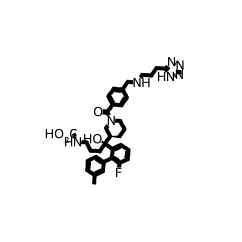 Cc1cccc(-c2c(F)cccc2[C@](O)(CCCNC(=O)O)[C@@H]2CCCN(C(=O)c3ccc(CNCCCc4nnn[nH]4)cc3)C2)c1